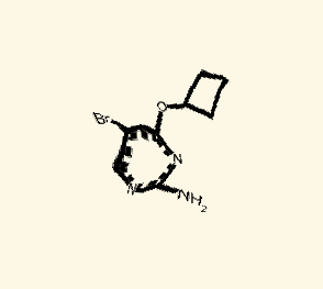 Nc1ncc(Br)c(OC2CCC2)n1